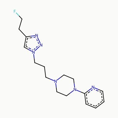 FCCc1cn(CCCN2CCN(c3ccccn3)CC2)nn1